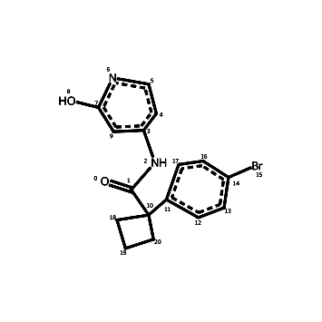 O=C(Nc1ccnc(O)c1)C1(c2ccc(Br)cc2)CCC1